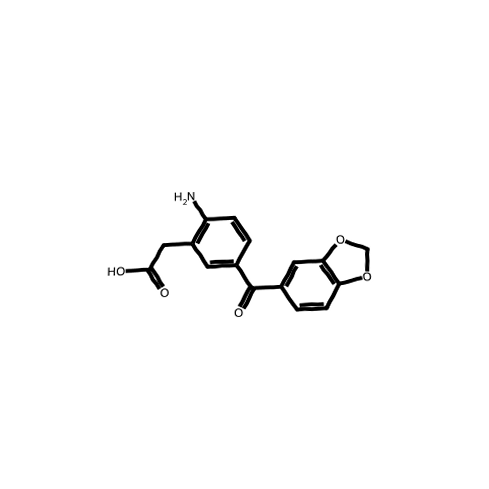 Nc1ccc(C(=O)c2ccc3c(c2)OCO3)cc1CC(=O)O